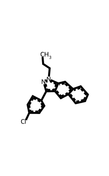 CCCn1nc(-c2ccc(Cl)cc2)c2cc3ccccc3cc21